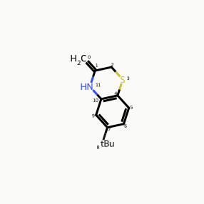 C=C1CSc2ccc(C(C)(C)C)cc2N1